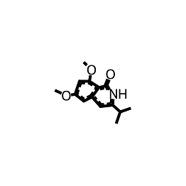 COc1cc(OC)c2c(=O)[nH]c(C(C)C)cc2c1